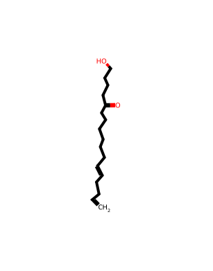 C=CCCC=CCCCCCCC(=O)CCCCO